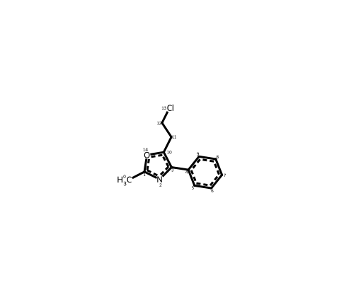 Cc1nc(-c2ccccc2)c(CCCl)o1